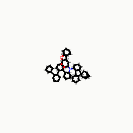 c1ccc(-c2ccccc2-c2ccccc2-c2ccccc2N(c2ccc3oc4ccccc4c3c2)c2cccc3c2-c2ccccc2C32CC3CCC2C3)cc1